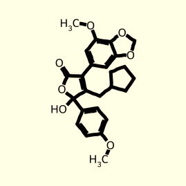 COc1ccc(C2(O)OC(=O)C(c3cc(OC)c4c(c3)OCO4)=C2CC2CCCC2)cc1